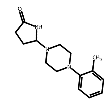 Cc1ccccc1N1CCN(C2CCC(=O)N2)CC1